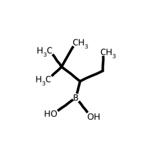 CCC(B(O)O)C(C)(C)C